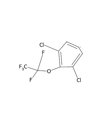 FC(F)(F)C(F)(F)Oc1c(Cl)c[c]cc1Cl